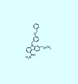 COCc1c[c]c2c3c(C(N)=O)cccc3n(Cc3cccc(OCc4ccccc4)c3)c2c1